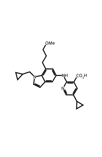 COCCCc1cc(Nc2ncc(C3CC3)cc2C(=O)O)cc2ccn(CC3CC3)c12